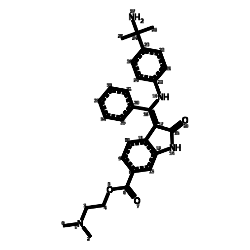 CN(C)CCOC(=O)c1ccc2c(c1)NC(=O)/C2=C(\Nc1ccc(C(C)(C)N)cc1)c1ccccc1